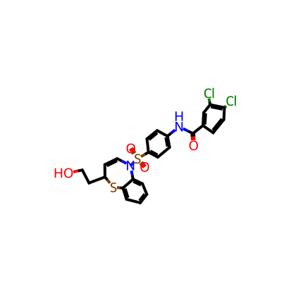 O=C(Nc1ccc(S(=O)(=O)N2C=CC(CCO)Sc3ccccc32)cc1)c1ccc(Cl)c(Cl)c1